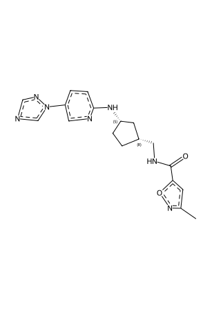 Cc1cc(C(=O)NC[C@@H]2CC[C@H](Nc3ccc(-n4cncn4)cn3)C2)on1